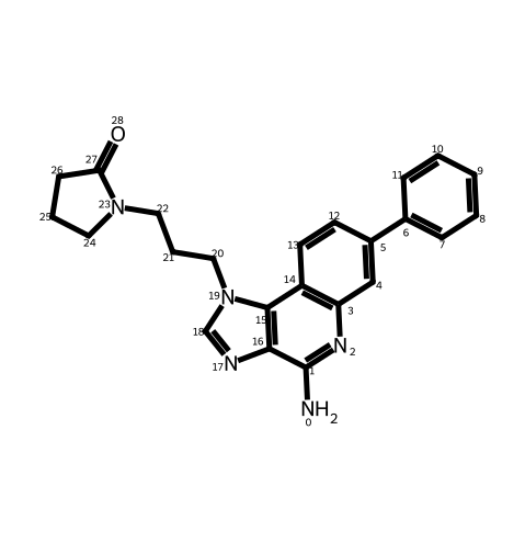 Nc1nc2cc(-c3ccccc3)ccc2c2c1ncn2CCCN1CCCC1=O